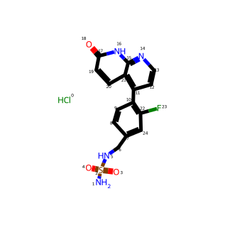 Cl.NS(=O)(=O)NCc1ccc(-c2ccnc3[nH]c(=O)ccc23)c(F)c1